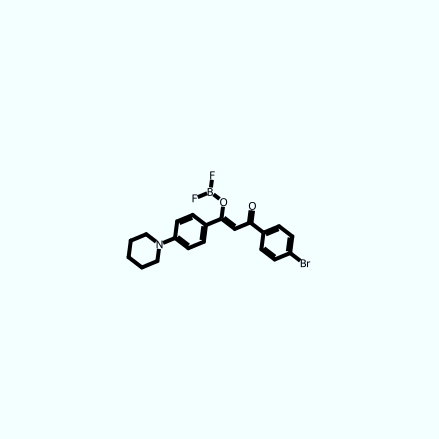 O=C(/C=C(\OB(F)F)c1ccc(N2CCCCC2)cc1)c1ccc(Br)cc1